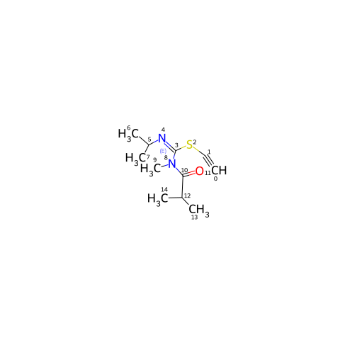 C#CS/C(=N/C(C)C)N(C)C(=O)C(C)C